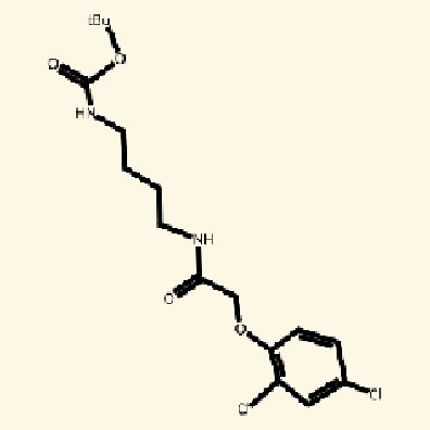 CC(C)(C)OC(=O)NCCCCNC(=O)COc1ccc(Cl)cc1Cl